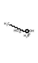 CCCCCCCC(O)CC(=O)/C=C/c1ccc(O)c(OC)c1